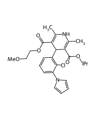 COCCOC(=O)C1=C(C)NC(C)=C(C(=O)OC(C)C)C1c1cccc(-n2cccc2)c1Cl